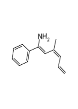 C=C/C=C(C)\C=C(/N)c1ccccc1